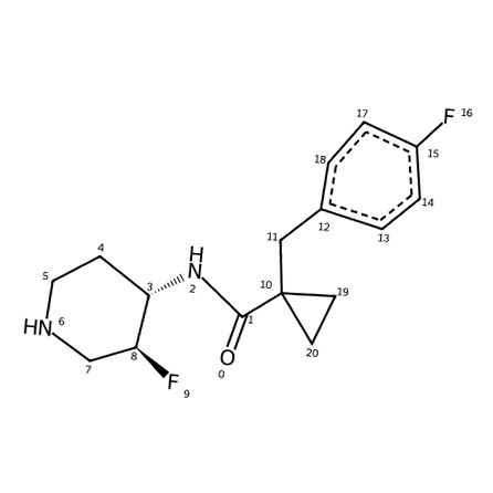 O=C(N[C@H]1CCNC[C@@H]1F)C1(Cc2ccc(F)cc2)CC1